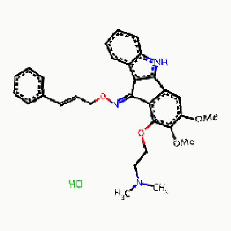 COc1cc2c(c(OCCN(C)C)c1OC)C(=NOCC=Cc1ccccc1)c1c-2[nH]c2ccccc12.Cl